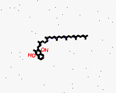 CC(C)=CCC/C(C)=C/CC/C(C)=C/CC/C(C)=C/CC/C(C)=C/CC/C(C)=C/Cc1c(C)c(O)c2ccccc2c1O